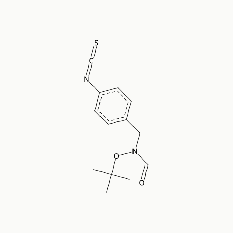 CC(C)(C)ON(C=O)Cc1ccc(N=C=S)cc1